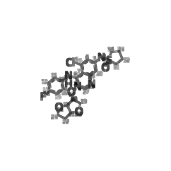 O=S1(=Nc2cc(Cl)c3c(Nc4ccc(F)cc4O[C@@H]4COC5CCOC54)ncnc3c2)CCCC1